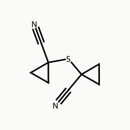 N#CC1(SC2(C#N)CC2)CC1